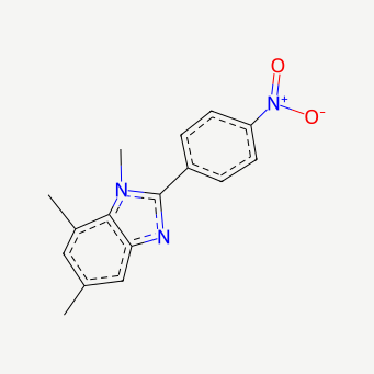 Cc1cc(C)c2c(c1)nc(-c1ccc([N+](=O)[O-])cc1)n2C